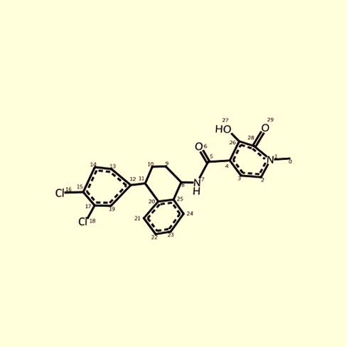 Cn1ccc(C(=O)NC2CCC(c3ccc(Cl)c(Cl)c3)c3ccccc32)c(O)c1=O